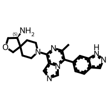 Cc1nc(N2CCC3(CC2)COC[C@H]3N)c2cncn2c1-c1ccc2cn[nH]c2c1